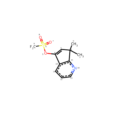 CC1(C)C=C(OS(=O)(=O)C(F)(F)F)c2cccnc21